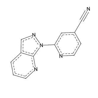 N#Cc1ccnc(-n2ncc3cccnc32)c1